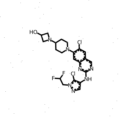 OC1CN(C2CCN(c3cc4nc(Nc5cnn(CC(F)F)c5Cl)ncc4cc3Cl)CC2)C1